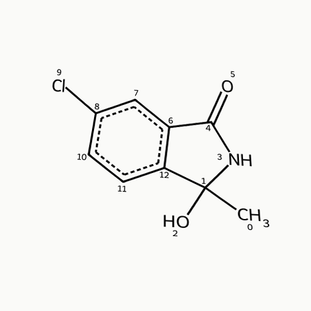 CC1(O)NC(=O)c2cc(Cl)ccc21